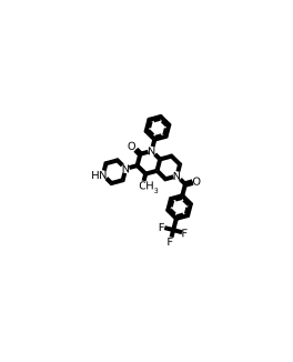 CC1C2CN(C(=O)c3ccc(C(F)(F)F)cc3)CCC2N(c2ccccc2)C(=O)C1N1CCNCC1